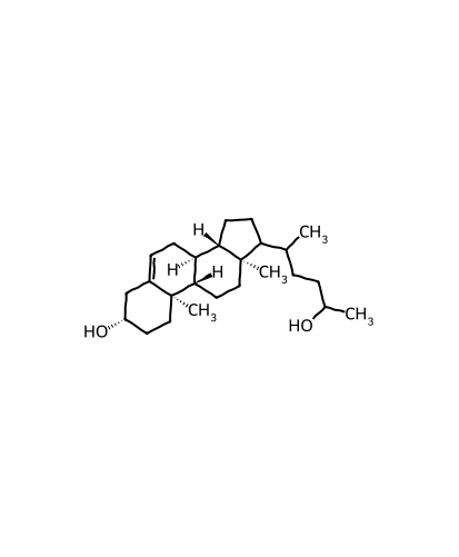 CC(O)CCC(C)C1CC[C@H]2[C@@H]3CC=C4C[C@@H](O)CC[C@]4(C)[C@H]3CC[C@]12C